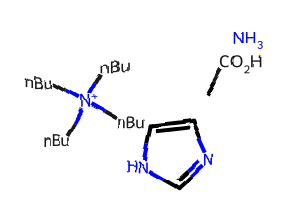 CC(=O)O.CCCC[N+](CCCC)(CCCC)CCCC.N.c1c[nH]cn1